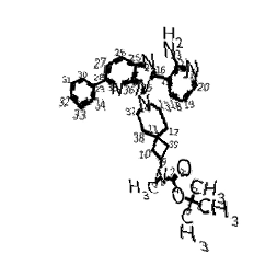 CN(C(=O)OC(C)(C)C)C1CC2(CCN(n3c(-c4cccnc4N)nc4ccc(-c5ccccc5)nc43)CC2)C1